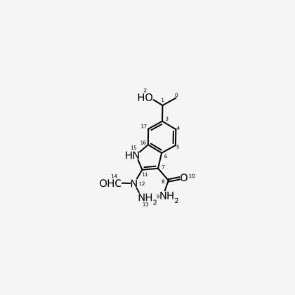 CC(O)c1ccc2c(C(N)=O)c(N(N)C=O)[nH]c2c1